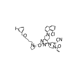 C=CC(=O)N1CCN(c2nc(OC[C@@H]3CCCN3CCCCOCc3cccc(I)c3)nc3c2CCN(c2cccc4cccc(Cl)c24)C3)C[C@@H]1CC#N